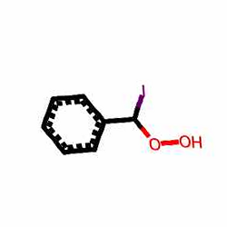 OOC(I)c1ccccc1